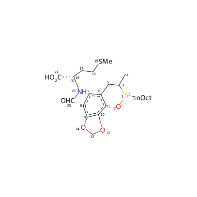 CCCCCCCC[S+]([O-])C(C)Cc1ccc2c(c1)OCO2.CSCC[C@H](NC=O)C(=O)O